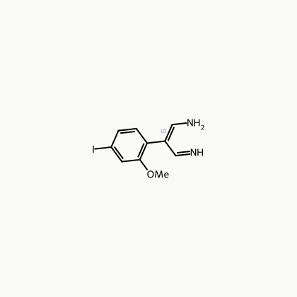 COc1cc(I)ccc1/C(C=N)=C/N